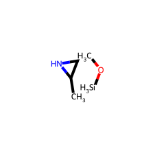 CC1CN1.CO[SiH3]